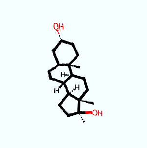 C[C@]12CC[C@@H](O)CC1CC[C@@H]1[C@@H]2CC[C@@]2(C)[C@H]1CC[C@]2(C)O